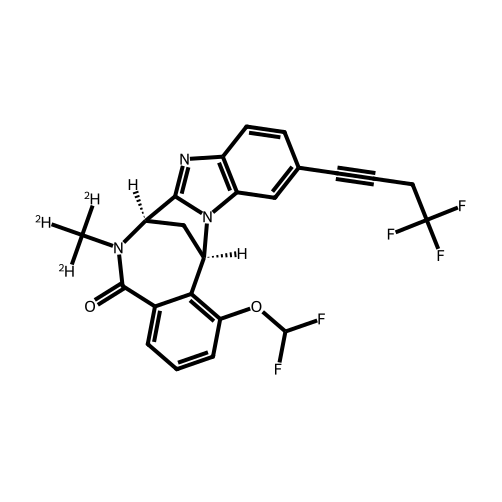 [2H]C([2H])([2H])N1C(=O)c2cccc(OC(F)F)c2[C@H]2C[C@@H]1c1nc3ccc(C#CCC(F)(F)F)cc3n12